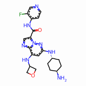 N[C@H]1CC[C@H](Nc2cc(NC3COC3)c3ncc(C(=O)Nc4ccncc4F)n3n2)CC1